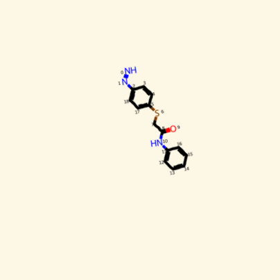 N=Nc1ccc(SCC(=O)Nc2ccccc2)cc1